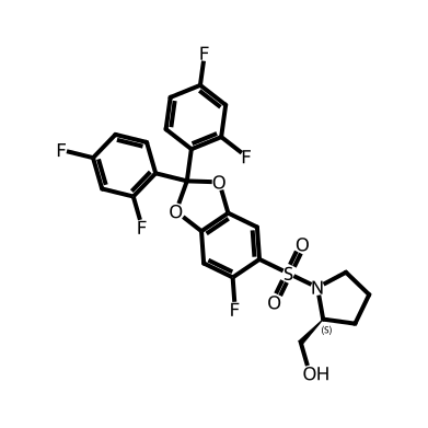 O=S(=O)(c1cc2c(cc1F)OC(c1ccc(F)cc1F)(c1ccc(F)cc1F)O2)N1CCC[C@H]1CO